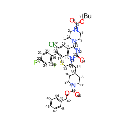 CC1CN(C(=O)OC(C)(C)C)CCN1c1nc(=O)n2c3c(c(-c4ccc(F)cc4F)c(Cl)cc13)SC[C@@H]2CC1CCN(C(=O)OCc2ccccc2)CC1